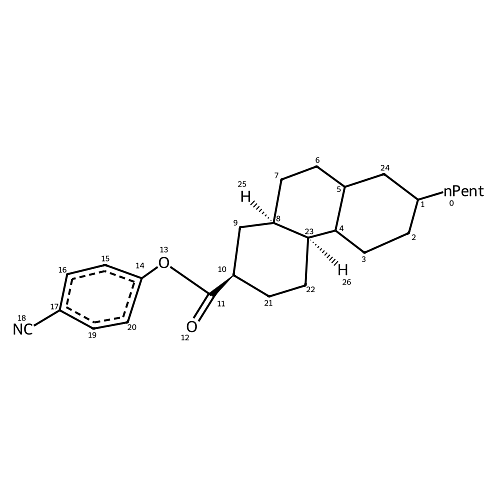 CCCCCC1CCC2C(CC[C@@H]3C[C@H](C(=O)Oc4ccc(C#N)cc4)CC[C@H]23)C1